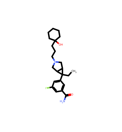 CCC1(c2cc(F)cc(C(N)=O)c2)C2CN(CCCC3(O)CCCCC3)CC21